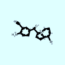 N#Cc1cc(C(=O)c2ccc3c(Br)cccn23)ccc1N